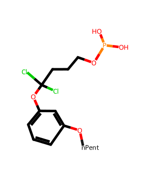 CCCCCOc1cccc(OC(Cl)(Cl)CCCOP(O)O)c1